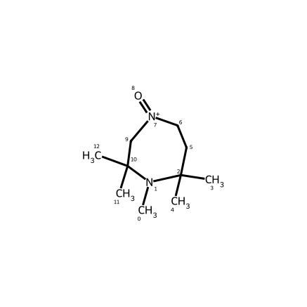 CN1C(C)(C)CC[N+](=O)CC1(C)C